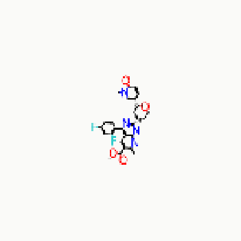 COC(=O)c1cc2c(-c3ccc(F)cc3F)nc([C@H]3CCO[C@@H](c4ccc(=O)n(C)c4)C3)nc2nc1C